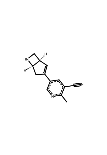 Cc1ncc(C2=C[C@@H]3CN[C@@H]3C2)cc1C#N